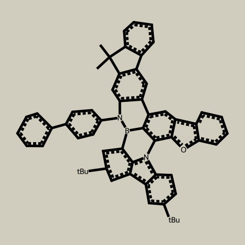 CC(C)(C)c1ccc2c(c1)c1cc(C(C)(C)C)cc3c1n2-c1c2c(cc4c1oc1ccccc14)-c1cc4c(cc1N(c1ccc(-c5ccccc5)cc1)B23)C(C)(C)c1ccccc1-4